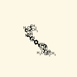 COC(=O)N[C@H](C(=O)N1CCCC1c1ncc(-c2ccc(-c3ncc(-c4cnc([C@@H]5CCCN5C(=O)[C@@H](C)C(C)C)[nH]4)cn3)cc2)[nH]1)C(C)C